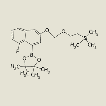 CC1(C)OB(c2cc(OCOCC[Si](C)(C)C)cc3cccc(F)c23)OC1(C)C